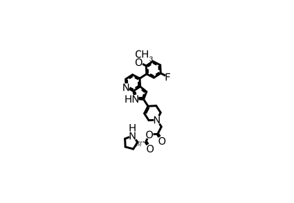 COc1ccc(F)cc1-c1ccnc2[nH]c(C3=CCN(CC(=O)OC(=O)[C@@H]4CCCN4)CC3)cc12